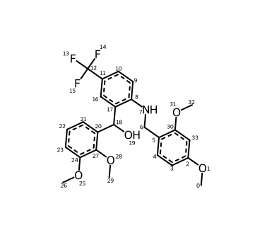 COc1ccc(CNc2ccc(C(F)(F)F)cc2C(O)c2cccc(OC)c2OC)c(OC)c1